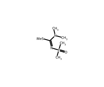 CSC(=NP(C)(C)=O)N(C)C